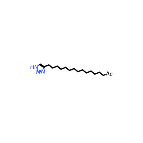 CC(=O)CCCCCCCCCCCCCCc1c[nH]nn1